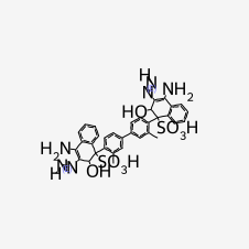 [H]/N=N/C1=C(N)c2ccccc2C(c2ccc(-c3ccc(C4(S(=O)(=O)O)c5ccccc5C(N)=C(/N=N/[H])C4O)c(C)c3)cc2C)(S(=O)(=O)O)C1O